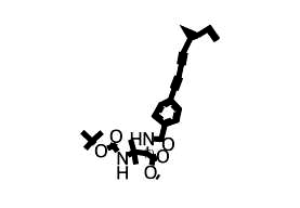 C=CC1CC1C#CC#Cc1ccc(C(=O)N[C@H](C(=O)OC)C(C)(C)NC(=O)OC(C)(C)C)cc1